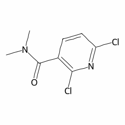 CN(C)C(=O)c1ccc(Cl)nc1Cl